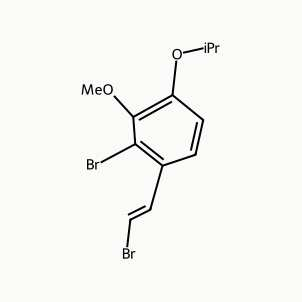 COc1c(OC(C)C)ccc(C=CBr)c1Br